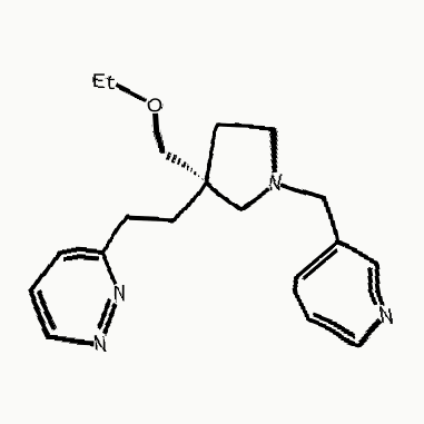 CCOC[C@]1(CCc2cccnn2)CCN(Cc2cccnc2)C1